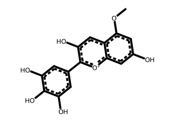 COc1cc(O)cc2[o+]c(-c3cc(O)c(O)c(O)c3)c(O)cc12